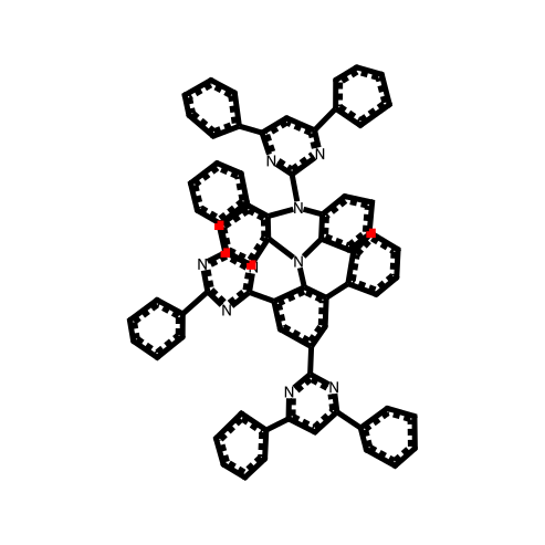 c1ccc(-c2cc(-c3ccccc3)nc(-c3cc(-c4ccccc4)c(N4c5ccccc5N(c5nc(-c6ccccc6)cc(-c6ccccc6)n5)c5ccccc54)c(-c4nc(-c5ccccc5)nc(-c5ccccc5)n4)c3)n2)cc1